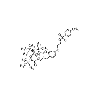 Cc1ccc(S(=O)(=O)OCCOc2ccc(CC(C[C@H](NC(=O)OC(C)(C)C)C(=O)OC(C)(C)C)C(=O)OC(C)(C)C)cc2)cc1